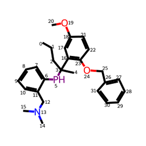 CCCC(C)(Pc1ccccc1CN(C)C)c1cc(OC)ccc1OCc1ccccc1